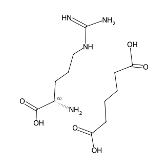 N=C(N)NCCC[C@H](N)C(=O)O.O=C(O)CCCCC(=O)O